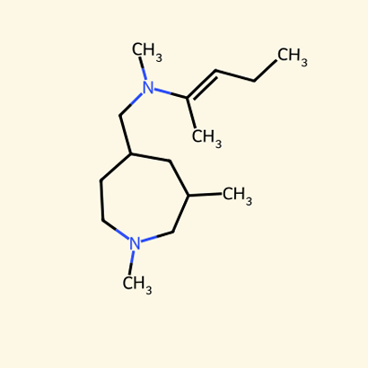 CC/C=C(\C)N(C)CC1CCN(C)CC(C)C1